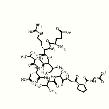 CC[C@H](C)[C@H](NC(=O)[C@H](CCCNC(=N)N)NC(=O)[C@@H](N)CCC(=O)O)C(=O)N[C@H](C(=O)N[C@@H](CC(=O)O)C(=O)N[C@H](C(=O)N[C@@H](C)C(=O)NCC(=O)N1CCC[C@H]1C(=O)NCC(=O)O)C(C)C)C(C)C